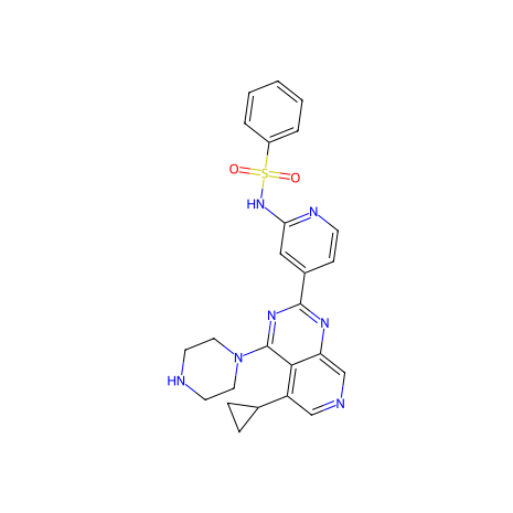 O=S(=O)(Nc1cc(-c2nc(N3CCNCC3)c3c(C4CC4)cncc3n2)ccn1)c1ccccc1